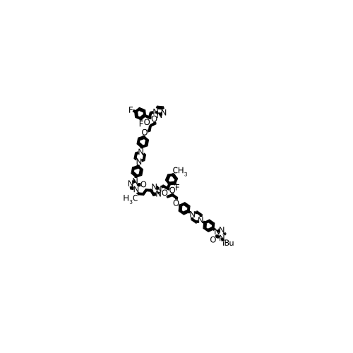 CCC(C)n1cnn(-c2ccc(N3CCN(c4ccc(OCC5COC(Cn6ncc(CCC(C)n7cnn(-c8ccc(N9CCN(c%10ccc(OCC%11COC(Cn%12ccnn%12)(c%12ccc(F)cc%12F)O%11)cc%10)CC9)cc8)c7=O)n6)(c6ccc(C)cc6F)O5)cc4)CC3)cc2)c1=O